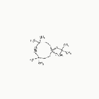 CC1(C)C#CC(C)(C)CCS(=O)(=NC(C)(C)C)CC1